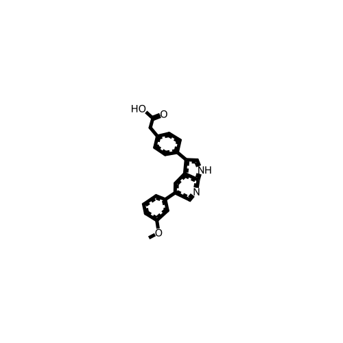 COc1cccc(-c2cnc3[nH]cc(-c4ccc(CC(=O)O)cc4)c3c2)c1